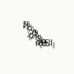 C[C@H]1CN(c2nnc(-c3ccc(C(F)(F)F)cc3)c3ccccc23)CCN1C(=O)OC(C)(C)C